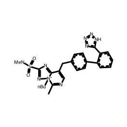 CCCC[N+]12N=C(S(=O)(=O)NC)N=C1C(Cc1ccc(-c3ccccc3-c3nnn[nH]3)cc1)=CN=C2C